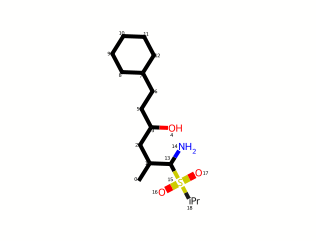 CC(CC(O)CCC1CCCCC1)C(N)S(=O)(=O)C(C)C